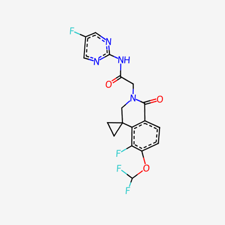 O=C(CN1CC2(CC2)c2c(ccc(OC(F)F)c2F)C1=O)Nc1ncc(F)cn1